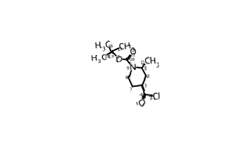 CC1CC(C(=O)Cl)CCN1C(=O)OC(C)(C)C